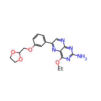 CCOc1nc(N)nc2ncc(-c3cccc(OCC4OCCO4)c3)nc12